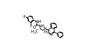 C[C@@H](CNc1nnc(-c2ccccc2)c2ccccc12)NC(=O)Nc1ccc(F)cc1F